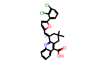 CC1(C)C/C(=C\c2ccc(-c3cccc(Cl)c3Cl)o2)c2nc3ccccc3c(C(=O)O)c2C1